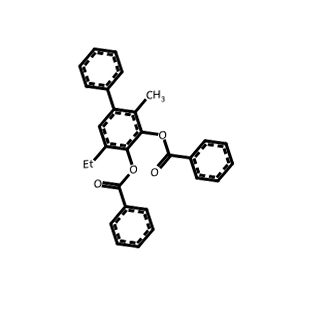 CCc1cc(-c2ccccc2)c(C)c(OC(=O)c2ccccc2)c1OC(=O)c1ccccc1